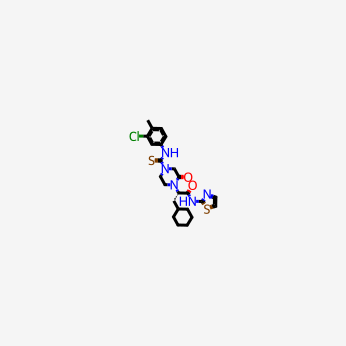 Cc1ccc(NC(=S)N2CCN([C@@H](CC3CCCCC3)C(=O)Nc3nccs3)C(=O)C2)cc1Cl